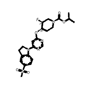 CC(C)OC(=O)N1CC[C@@H](Oc2cc(N3CCc4cc(S(C)(=O)=O)ccc43)ncn2)[C@@H](F)C1